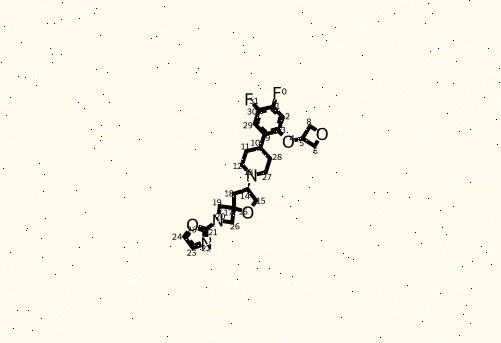 Fc1cc(OC2COC2)c(C2CCN([C@@H]3COC4(C3)CN(c3ncco3)C4)CC2)cc1F